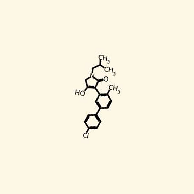 Cc1ccc(-c2ccc(Cl)cc2)cc1C1=C(O)CN(CC(C)C)C1=O